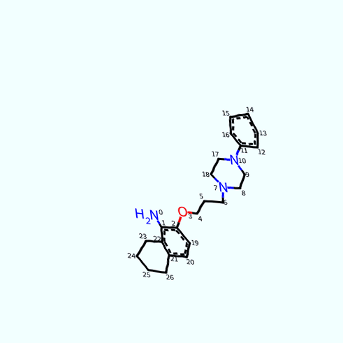 Nc1c(OCCCN2CCN(c3ccccc3)CC2)ccc2c1CCCC2